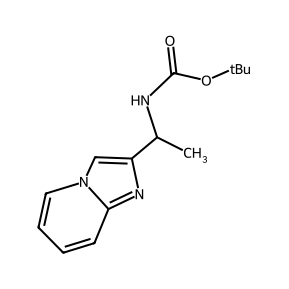 CC(NC(=O)OC(C)(C)C)c1cn2ccccc2n1